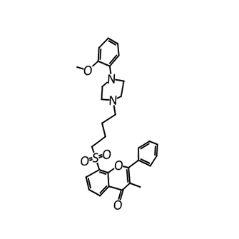 COc1ccccc1N1CCN(CCCCS(=O)(=O)c2cccc3c(=O)c(C)c(-c4ccccc4)oc23)CC1